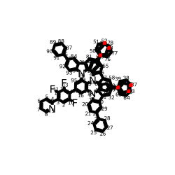 Fc1cc(-c2ccccn2)c(F)c(F)c1-c1cc(-n2c3ccc(-c4ccccc4)cc3c3cc(-c4ccccc4)ccc32)c(-n2c3ccc(-c4ccccc4)cc3c3cc(-c4ccccc4)ccc32)c(-n2c3ccc(-c4ccccc4)cc3c3cc(-c4ccccc4)ccc32)c1